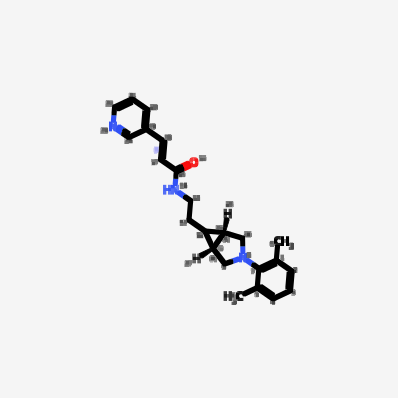 Cc1cccc(C)c1N1C[C@@H]2C(CCNC(=O)/C=C/c3cccnc3)[C@@H]2C1